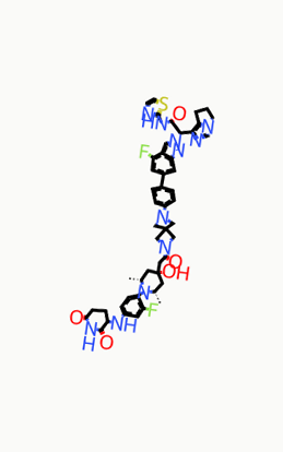 C[C@@H]1CC(O)(CC(=O)N2CC3(C2)CN(c2ccc(-c4cc(F)c5cn(C(C(=O)Nc6nccs6)c6ncn7c6CCC7)nc5c4)cc2)C3)C[C@H](C)N1c1ccc(NC2CCC(=O)NC2=O)cc1F